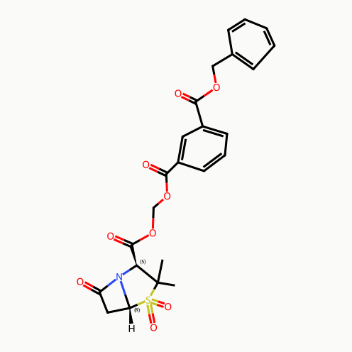 CC1(C)[C@H](C(=O)OCOC(=O)c2cccc(C(=O)OCc3ccccc3)c2)N2C(=O)C[C@H]2S1(=O)=O